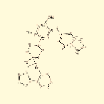 CC(C)c1ccccc1C1CCCN1C1CC2(CCN(c3cc(Oc4cnc5[nH]ccc5c4)c(C=O)cc3F)CC2)C1